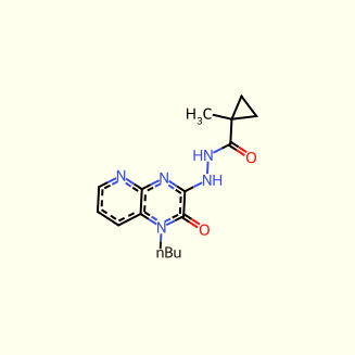 CCCCn1c(=O)c(NNC(=O)C2(C)CC2)nc2ncccc21